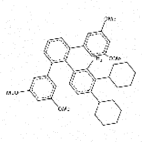 COc1cc(OC)cc(-c2cccc(-c3cc(OC)cc(OC)c3)c2-c2ccc(C3CCCCC3)c(C3CCCCC3)c2P)c1